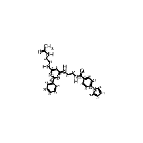 CC(=O)NCCNc1cc(NCCNC(=O)c2ccc(-n3cccc3)cc2)nc(-c2ccccc2)n1